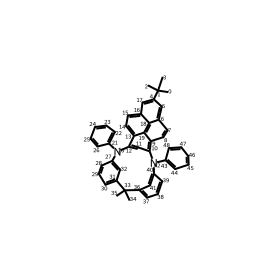 CC(C)(C)c1cc2ccc3c4cc(c5ccc(c1)c2c35)N(c1ccccc1)c1cccc(c1)C(C)(C)c1cccc(c1)N4c1ccccc1